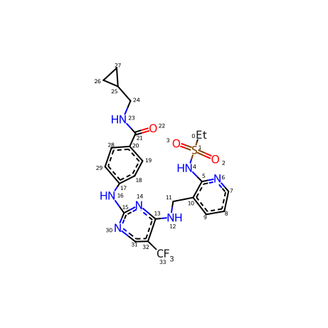 CCS(=O)(=O)Nc1ncccc1CNc1nc(Nc2ccc(C(=O)NCC3CC3)cc2)ncc1C(F)(F)F